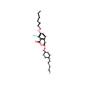 CCCCCCCOc1ccc2cc(OCC3CCC(CCCCC)CC3)oc(=O)c2c1F